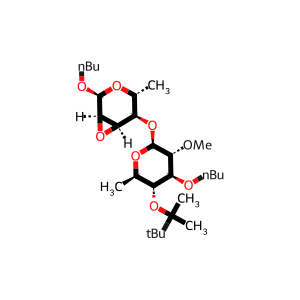 CCCCO[C@H]1O[C@H](C)[C@@H](O[C@@H]2O[C@H](C)[C@@H](OC(C)(C)C(C)(C)C)[C@H](OCCCC)[C@H]2OC)[C@H]2O[C@@H]12